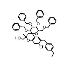 CCc1ccc(Cc2cc3c(cc2Cl)OC(C)(CO)CC32O[C@H](COCc3ccccc3)[C@@H](OCc3ccccc3)[C@H](OCc3ccccc3)[C@H]2OCc2ccccc2)cc1